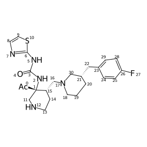 CC(=O)[C@]1(NC(=O)Nc2nccs2)CNCC[C@H]1CN1CCC[C@@H](Cc2ccc(F)cc2)C1